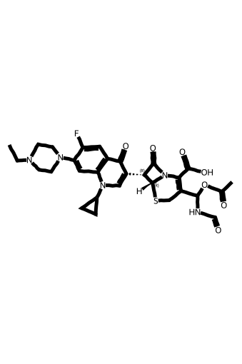 CCN1CCN(c2cc3c(cc2F)c(=O)c([C@@H]2C(=O)N4C(C(=O)O)=C(C(NC=O)OC(C)=O)CS[C@H]24)cn3C2CC2)CC1